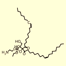 CCCCCCCC/C=C\CCCCCCCC(=O)C(OP(=O)(OCC)OCCN)(C(=O)CCCCCCC/C=C\CCCCCCCC)[C@@H](O)CO